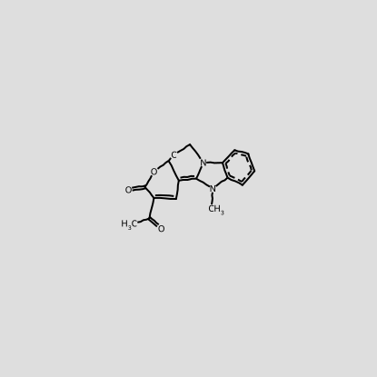 CC(=O)C1=CC2=C3N(C)c4ccccc4N3CCC2OC1=O